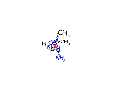 CCCCCCN(CCC)c1cc(Oc2cc(C=N)ccc2-c2cc(CCN)ccn2)cc(C)n1